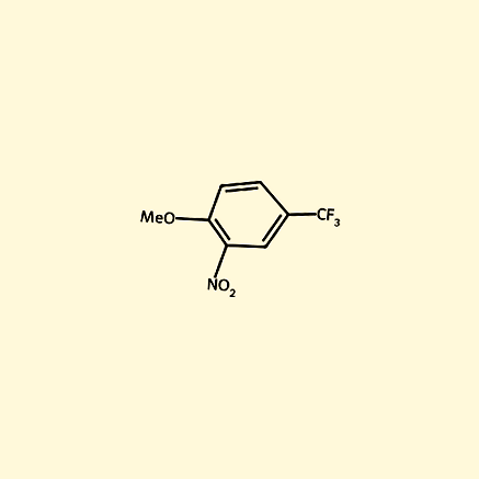 COc1ccc(C(F)(F)F)cc1[N+](=O)[O-]